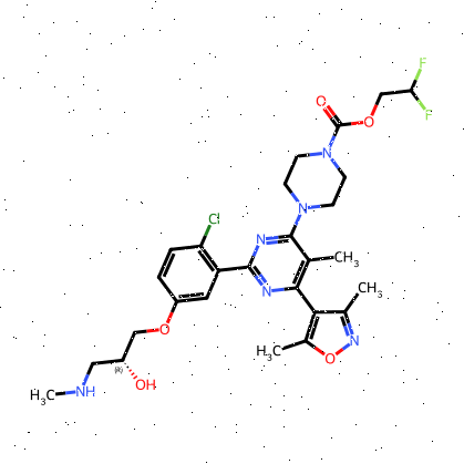 CNC[C@@H](O)COc1ccc(Cl)c(-c2nc(-c3c(C)noc3C)c(C)c(N3CCN(C(=O)OCC(F)F)CC3)n2)c1